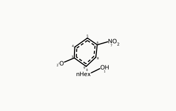 CCCCCCO.[O]c1ccc([N+](=O)[O-])cc1